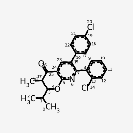 CC(C)C1Oc2nc(-c3ccccc3Cl)c(-c3ccc(Cl)cc3)cc2C(=O)C1C